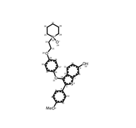 COc1ccc(-c2sc3cc(O)ccc3c2Oc2ccc(OCC[N+]3([O-])CCCCC3)cc2)cc1